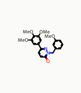 COc1cccc(Cn2nc(-c3cc(OC)c(OC)c(OC)c3)ccc2=O)c1